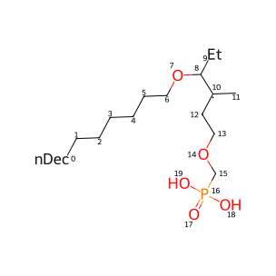 CCCCCCCCCCCCCCCCOC(CC)[C](C)CCOCP(=O)(O)O